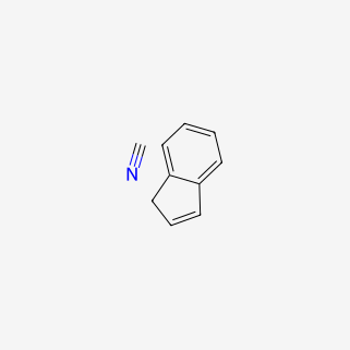 C#N.C1=Cc2ccccc2C1